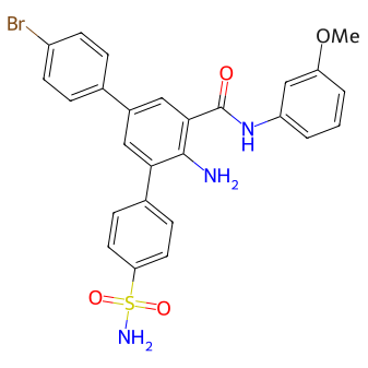 COc1cccc(NC(=O)c2cc(-c3ccc(Br)cc3)cc(-c3ccc(S(N)(=O)=O)cc3)c2N)c1